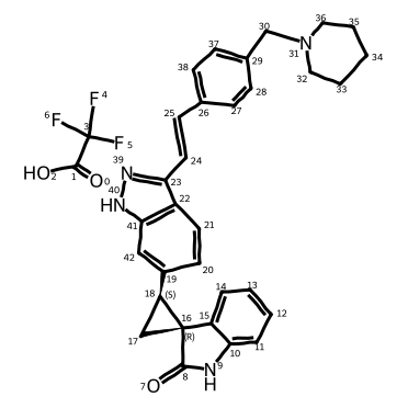 O=C(O)C(F)(F)F.O=C1Nc2ccccc2[C@]12C[C@H]2c1ccc2c(C=Cc3ccc(CN4CCCCC4)cc3)n[nH]c2c1